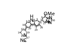 COc1cc(-c2cc3[nH]c4ccc(C5CCCN(CC#N)C5)cc4c3c(C)c2C)cn2ncnc12